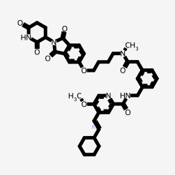 COc1cnc(C(=O)NCc2cccc(CC(=O)N(C)CCCCOc3ccc4c(c3)C(=O)N(C3CCC(=O)NC3=O)C4=O)c2)cc1/C=C/C1CCCCC1